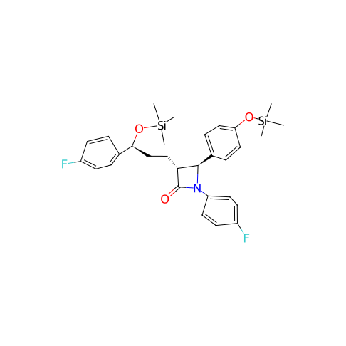 C[Si](C)(C)Oc1ccc([C@@H]2[C@@H](CC[C@H](O[Si](C)(C)C)c3ccc(F)cc3)C(=O)N2c2ccc(F)cc2)cc1